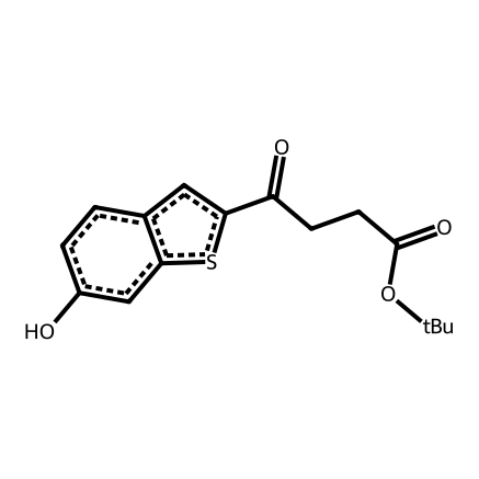 CC(C)(C)OC(=O)CCC(=O)c1cc2ccc(O)cc2s1